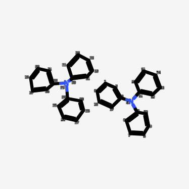 c1ccc(N(c2ccccc2)c2ccccc2)cc1.c1ccc(N(c2ccccc2)c2ccccc2)cc1